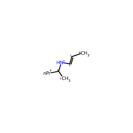 CC=CNC(C)CCC